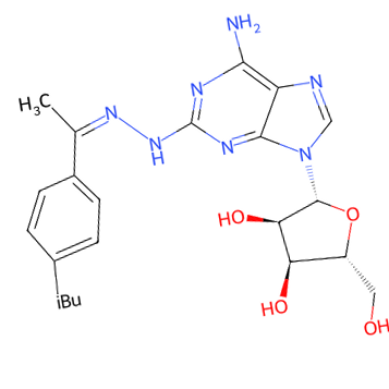 CCC(C)c1ccc(C(C)=NNc2nc(N)c3ncn([C@@H]4O[C@H](CO)[C@@H](O)[C@H]4O)c3n2)cc1